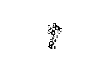 O=C(Nc1ccc2c(c1)OCC(=O)N2Cc1cc2c(cc1Cl)OCO2)Nc1ccc2cc[nH]c2c1